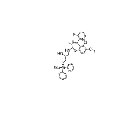 CC1N=C(c2ncccc2F)c2c(ccc(C(F)(F)F)c2Cl)N=C1NCC(O)CO[Si](c1ccccc1)(c1ccccc1)C(C)(C)C